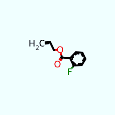 C=CCOC(=O)c1ccccc1F